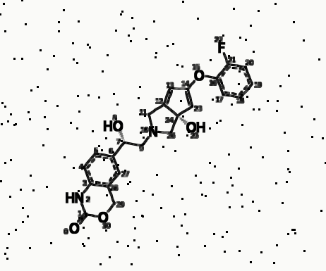 O=C1Nc2ccc([C@H](O)CN3CC4=CC(Oc5ccccc5F)=C[C@@]4(O)C3)cc2CO1